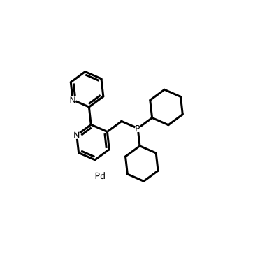 [Pd].c1ccc(-c2ncccc2CP(C2CCCCC2)C2CCCCC2)nc1